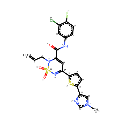 C=CCN1C(C(=O)Nc2ccc(F)c(Cl)c2)=CC(c2ccc(-c3cn(C)cn3)s2)=NS1(=O)=O